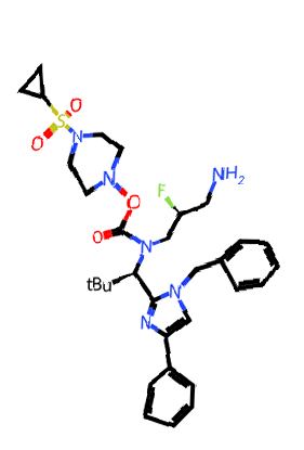 CC(C)(C)[C@H](c1nc(-c2ccccc2)cn1Cc1ccccc1)N(C[C@@H](F)CN)C(=O)ON1CCN(S(=O)(=O)C2CC2)CC1